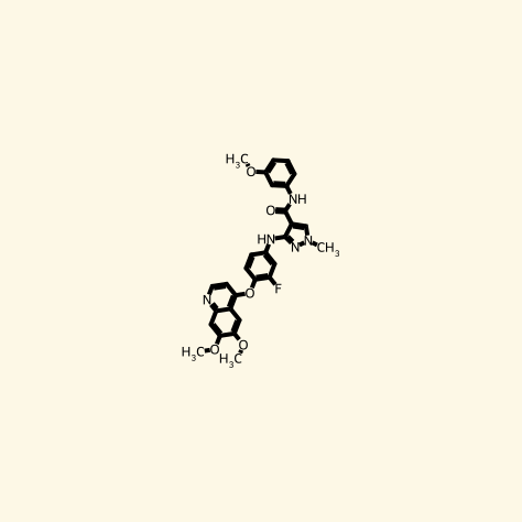 COc1cccc(NC(=O)c2cn(C)nc2Nc2ccc(Oc3ccnc4cc(OC)c(OC)cc34)c(F)c2)c1